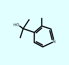 Cc1cnccc1C(C)(C)O